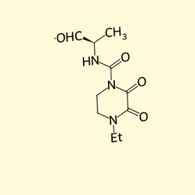 CCN1CCN(C(=O)N[C@H](C)[C]=O)C(=O)C1=O